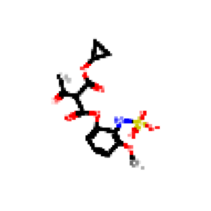 COc1cccc(OC(=O)C(C(C)=O)C(=O)OC2CC2)c1NS(=O)(=O)O